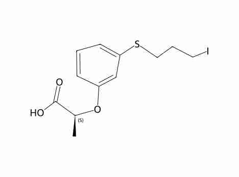 C[C@H](Oc1cccc(SCCCI)c1)C(=O)O